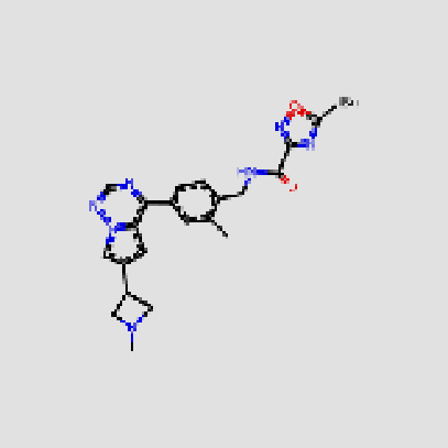 Cc1cc(-c2ncnn3cc(C4CN(C)C4)cc23)ccc1CNC(=O)c1noc(C(C)(C)C)n1